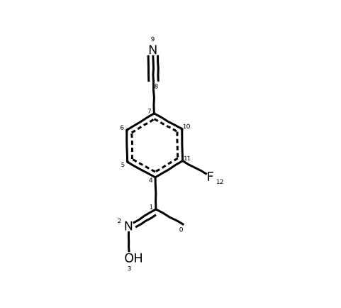 C/C(=N\O)c1ccc(C#N)cc1F